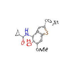 CCOC(=O)c1cc2c(NC(=O)C3CC3)c(O)c(OC)cc2s1